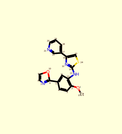 CCOc1ccc(-c2ncco2)cc1Nc1nc(-c2cccnc2)cs1